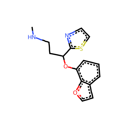 CNCCC(Oc1cccc2ccoc12)c1nccs1